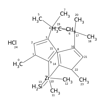 CC1C=C(C(C)(C)C)C=[C]1[Zr]([CH3])([CH3])(=[SiH2])[C]1=CC(C(C)(C)C)=CC1C.Cl